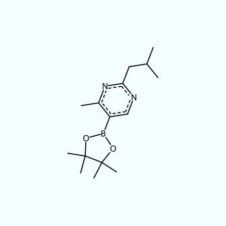 Cc1nc(CC(C)C)ncc1B1OC(C)(C)C(C)(C)O1